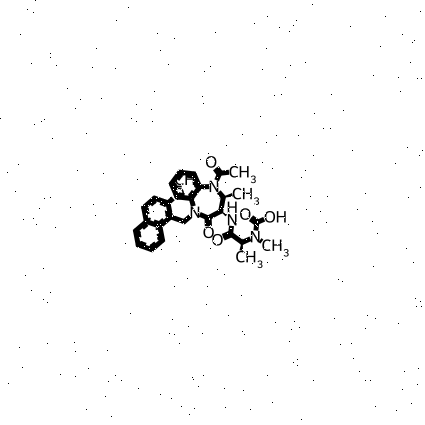 COc1ccc2ccccc2c1CN1C(=O)[C@@H](NC(=O)[C@H](C)N(C)C(=O)O)[C@H](C)N(C(C)=O)c2ccccc21